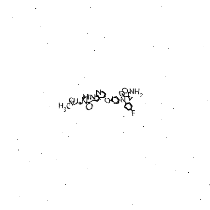 CN(C)CCCNC(=O)c1cc2c(Oc3ccc(N(C(=O)C4(C(N)=O)CC4)c4ccc(F)cc4)cc3)ccnc2[nH]1